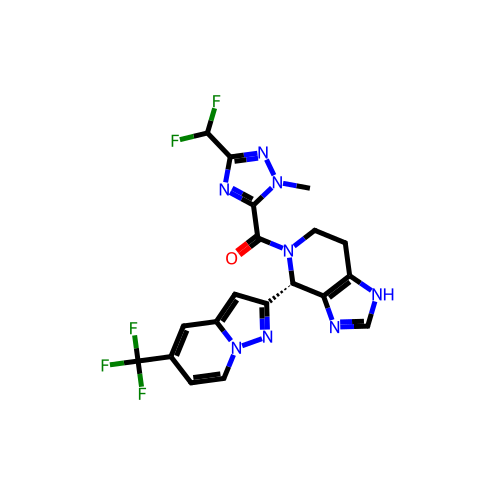 Cn1nc(C(F)F)nc1C(=O)N1CCc2[nH]cnc2[C@@H]1c1cc2cc(C(F)(F)F)ccn2n1